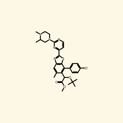 COC(=O)C(OC(C)(C)C)c1c(C)cc2nc(-c3ccnc(N4CCN(C)C(C)C4)n3)sc2c1-c1ccc(Cl)cc1